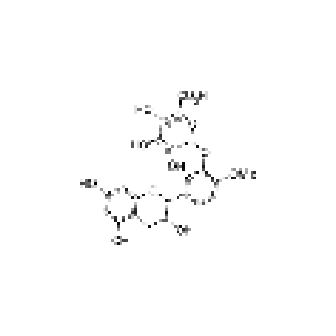 COc1ccc(C2Oc3cc(O)cc(O)c3CC2O)cc1OC1O[C@H](C(=O)O)[C@@H](O)[C@H](O)[C@H]1O